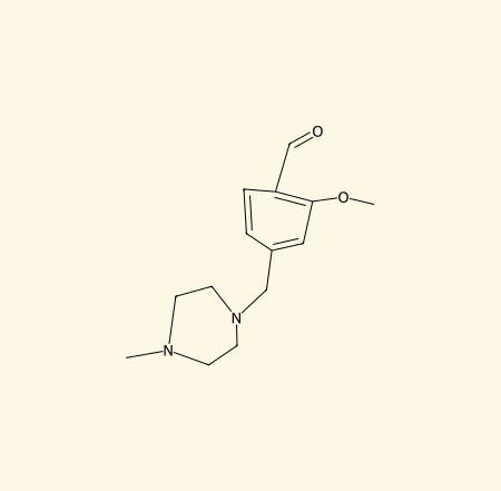 COc1cc(CN2CCN(C)CC2)ccc1C=O